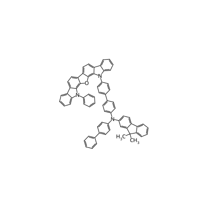 CC1(C)c2ccccc2-c2ccc(N(c3ccc(-c4ccccc4)cc3)c3ccc(-c4ccc(-n5c6ccccc6c6ccc7c8ccc9c%10ccccc%10n(-c%10ccccc%10)c9c8oc7c65)cc4)cc3)cc21